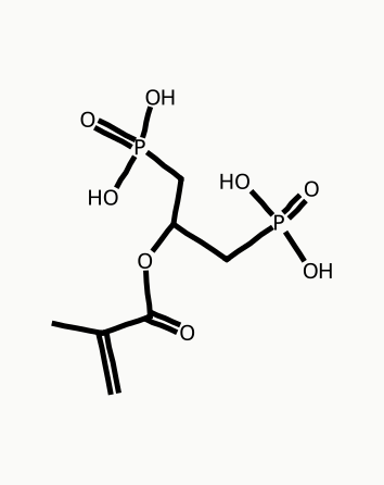 C=C(C)C(=O)OC(CP(=O)(O)O)CP(=O)(O)O